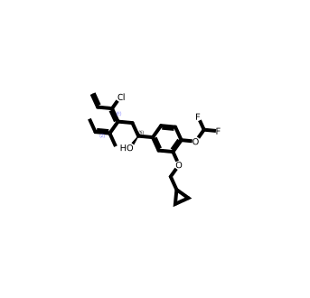 C=C/C(Cl)=C(C[C@H](O)c1ccc(OC(F)F)c(OCC2CC2)c1)\C(C)=C/C